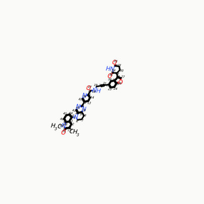 Cc1cc2c(N3CCCc4nc(-c5ccc(C(=O)NCC#Cc6ccc7occ(C8CCC(=O)NC8=O)c7c6)nc5)ncc43)cccc2n(C)c1=O